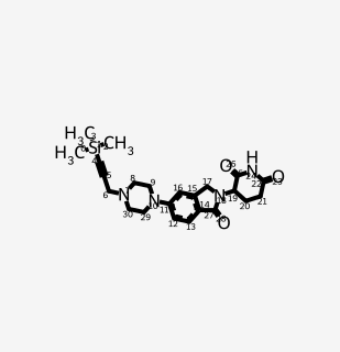 C[Si](C)(C)C#CCN1CCN(c2ccc3c(c2)CN(C2CCC(=O)NC2=O)C3=O)CC1